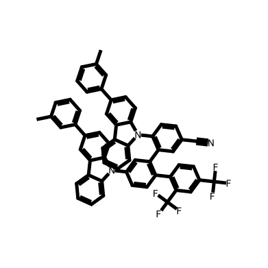 Cc1cccc(-c2ccc3c(c2)c2ccccc2n3-c2ccc(-c3ccc(C(F)(F)F)cc3C(F)(F)F)c(-c3cc(C#N)ccc3-n3c4ccccc4c4cc(-c5cccc(C)c5)ccc43)c2)c1